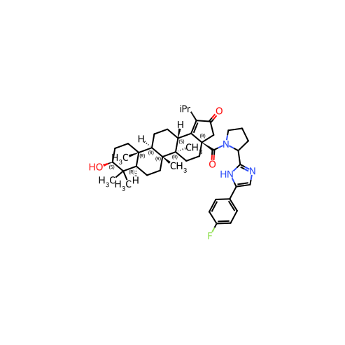 CC(C)C1=C2[C@H]3CC[C@@H]4[C@@]5(C)CC[C@H](O)C(C)(C)[C@@H]5CC[C@@]4(C)[C@]3(C)CC[C@@]2(C(=O)N2CCCC2c2ncc(-c3ccc(F)cc3)[nH]2)CC1=O